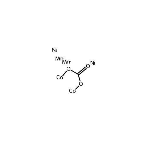 O=C([O][Co])[O][Co].[Mn].[Mn].[Ni].[Ni]